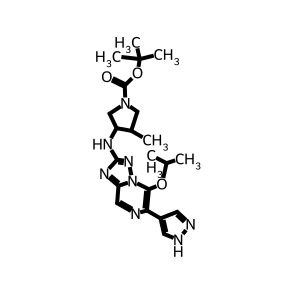 CC(C)Oc1c(-c2cn[nH]c2)ncc2nc(NC3CN(C(=O)OC(C)(C)C)CC3C)nn12